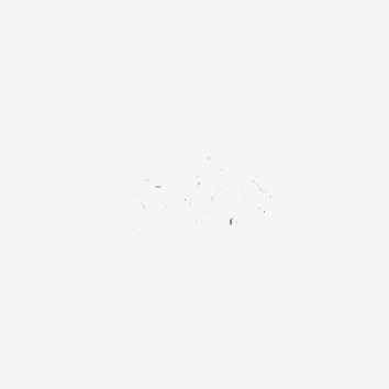 N#Cc1[nH]nnc1-c1cccc2c1c(Cl)cn2-c1ccc(F)c(F)c1